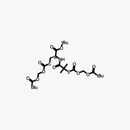 CC(C)(C)OC(=O)[C@H](CSC(=O)OCOC(=O)C(C)(C)C)NC(=O)C(C)(C)SC(=O)OCOC(=O)C(C)(C)C